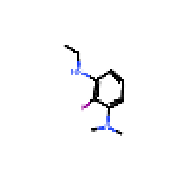 CCNc1cccc(N(C)C)c1I